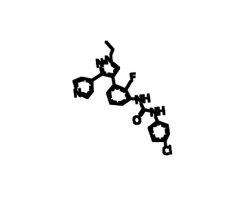 CCn1cc(-c2cccc(NC(=O)Nc3ccc(Cl)cc3)c2F)c(-c2ccncc2)n1